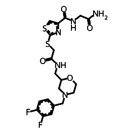 NC(=O)CNC(=O)c1csc(SCC(=O)NCC2CN(Cc3ccc(F)c(F)c3)CCO2)n1